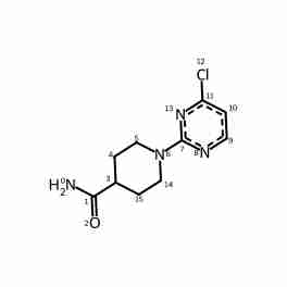 NC(=O)C1CCN(c2nccc(Cl)n2)CC1